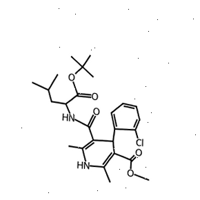 COC(=O)C1=C(C)NC(C)=C(C(=O)NC(CC(C)C)C(=O)OC(C)(C)C)C1c1ccccc1Cl